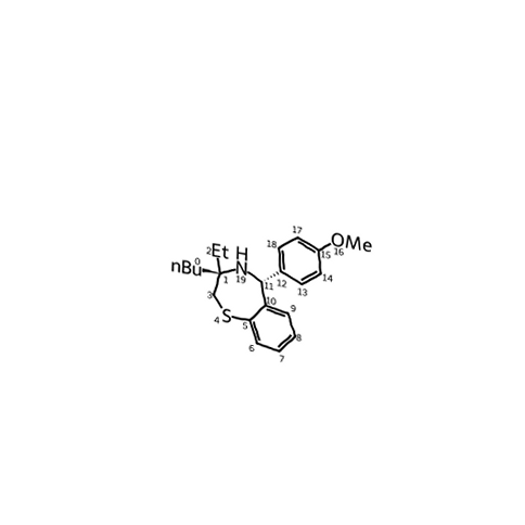 CCCC[C@]1(CC)CSc2ccccc2[C@@H](c2ccc(OC)cc2)N1